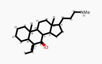 C/C=C1/C(=O)C2C3CCC(CCCNC)C3(C)CCC2C2(C)CCCCC12